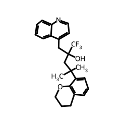 CC(C)(CC(O)(Cc1ccnc2ccccc12)C(F)(F)F)c1cccc2c1OCCC2